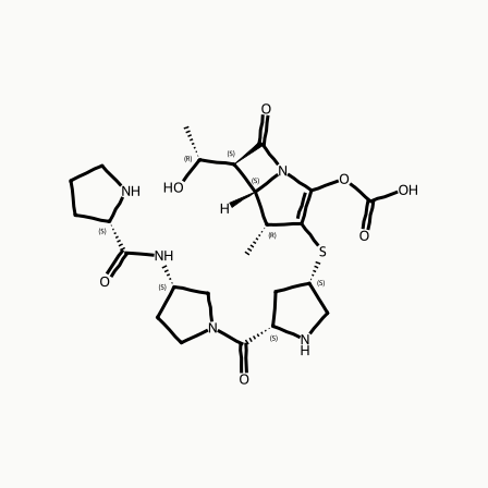 C[C@@H](O)[C@H]1C(=O)N2C(OC(=O)O)=C(S[C@@H]3CN[C@H](C(=O)N4CC[C@H](NC(=O)[C@@H]5CCCN5)C4)C3)[C@H](C)[C@H]12